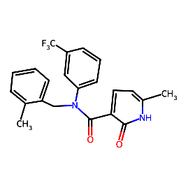 Cc1ccc(C(=O)N(Cc2ccccc2C)c2cccc(C(F)(F)F)c2)c(=O)[nH]1